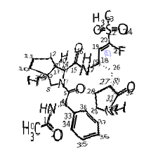 CC(=O)N[C@H](C(=O)N1C[C@H]2CCC[C@H]2[C@H]1C(=O)N[C@H](/C=C(\F)S(C)(=O)=O)C[C@H]1CCNC1=O)c1ccccc1